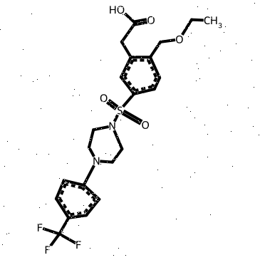 CCOCc1ccc(S(=O)(=O)N2CCN(c3ccc(C(F)(F)F)cc3)CC2)cc1CC(=O)O